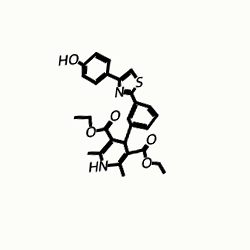 CCOC(=O)C1=C(C)NC(C)=C(C(=O)OCC)C1c1cccc(-c2nc(-c3ccc(O)cc3)cs2)c1